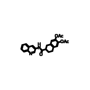 CC(=O)Oc1cc2c(cc1OC(C)=O)CC(C(=O)Nc1cnc3ccccc3c1)CC2